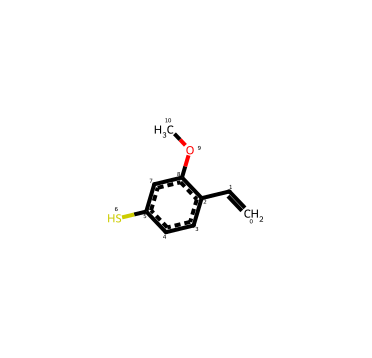 C=Cc1ccc(S)cc1OC